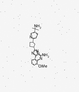 COc1cccc2c1nc(N)n1nc(C3CCC(c4ccc(C(C)(C)N)cn4)C3)nc21